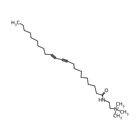 CCCCCCCCCC#CC#CCCCCCCCCC(=O)NCC[N+](C)(C)C